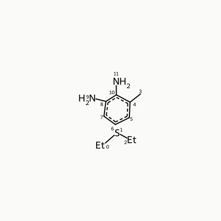 CCSCC.Cc1cccc(N)c1N